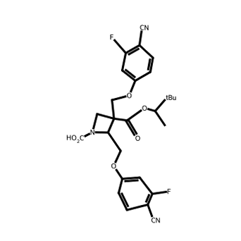 CC(OC(=O)C1(COc2ccc(C#N)c(F)c2)CN(C(=O)O)C1COc1ccc(C#N)c(F)c1)C(C)(C)C